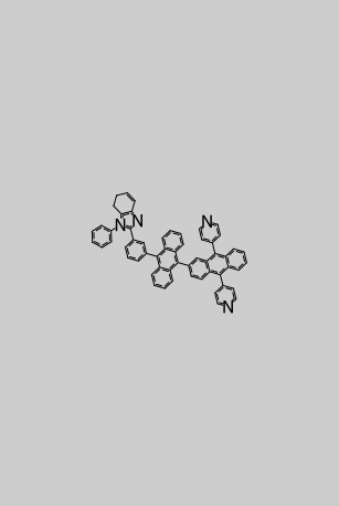 C1=Cc2nc(-c3cccc(-c4c5ccccc5c(-c5ccc6c(-c7ccncc7)c7ccccc7c(-c7ccncc7)c6c5)c5ccccc45)c3)n(-c3ccccc3)c2CC1